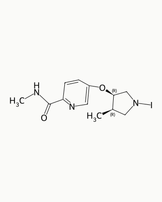 CNC(=O)c1ccc(O[C@H]2CN(I)C[C@H]2C)cn1